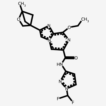 CCOc1nc(C(=O)Nc2ccn(C(F)F)n2)cn2cc(C34COC(C)(C3)C4)nc12